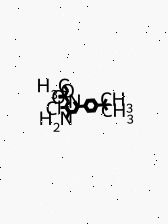 COC(=O)c1nc(-c2ccc(C(C)C)cc2)cc(N)c1Cl